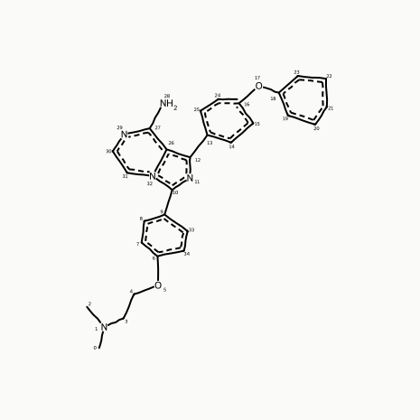 CN(C)CCOc1ccc(-c2nc(-c3ccc(Oc4ccccc4)cc3)c3c(N)nccn23)cc1